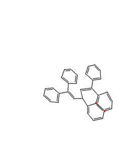 C(=C(c1ccccc1)c1ccccc1)C(C=C(c1ccccc1)c1ccccc1)c1ccccc1